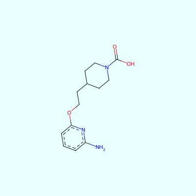 Nc1cccc(OCCC2CCN(C(=O)O)CC2)n1